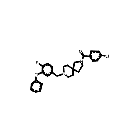 O=C(c1ccc(Cl)cc1)N1CCC2(CCN(Cc3ccc(F)c(Oc4ccccc4)c3)CC2)C1